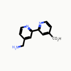 NCc1ccnc(-c2cc(C(=O)O)ccn2)c1